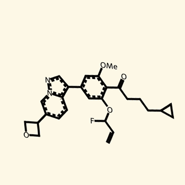 C=CC(F)Oc1cc(-c2cnn3cc(C4COC4)ccc23)cc(OC)c1C(=O)CCCC1CC1